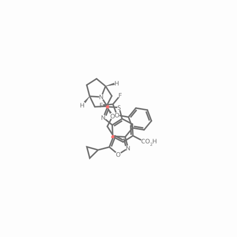 O=C(O)c1ccc2nc(N3[C@@H]4CC[C@H]3C[C@H](OCc3c(-c5ccccc5OC(F)F)noc3C3CC3)C4)sc2c1